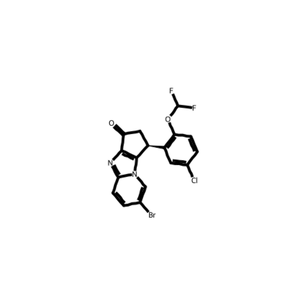 O=C1C[C@@H](c2cc(Cl)ccc2OC(F)F)c2c1nc1ccc(Br)cn21